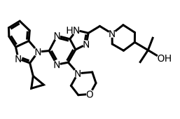 CC(C)(O)C1CCN(Cc2nc3c(N4CCOCC4)nc(-n4c(C5CC5)nc5ccccc54)nc3[nH]2)CC1